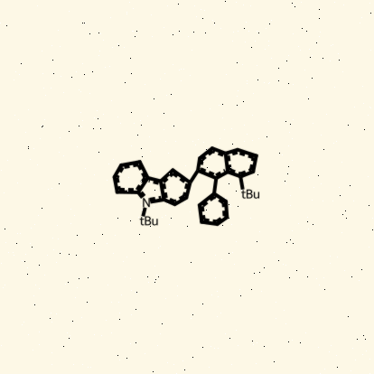 CC(C)(C)c1cccc2ccc(-c3ccc4c(c3)c3ccccc3n4C(C)(C)C)c(-c3ccccc3)c12